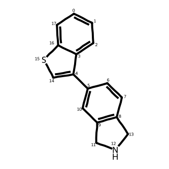 c1ccc2c(-c3ccc4c(c3)CNC4)csc2c1